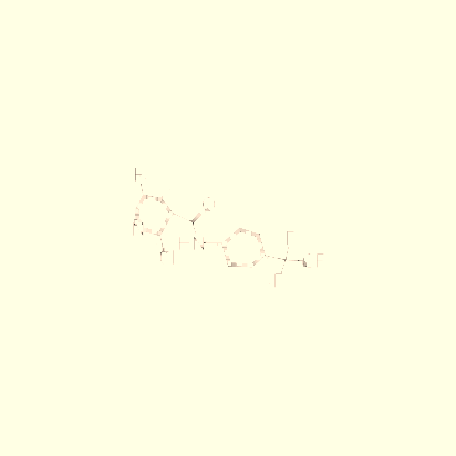 O=C(Nc1ccc(C(F)(F)C(F)(F)F)cc1)c1cc(F)cnc1Cl